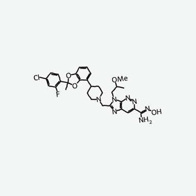 COC(C)Cn1c(CN2CCC(c3cccc4c3OC(C)(c3ccc(Cl)cc3F)O4)CC2)nc2cc(C(N)=NO)nnc21